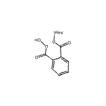 CCCCCCOC(=O)c1ccccc1C(=O)OO